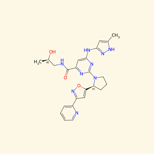 Cc1cc(Nc2cc(C(=O)NC[C@@H](C)O)nc(N3CCC[C@H]3c3cc(-c4ccccn4)no3)n2)n[nH]1